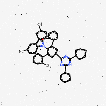 N#Cc1ccc2c(c1)c1cc(C#N)ccc1n2-c1c(-c2ccccc2C(F)(F)F)cc(-c2nc(-c3ccccc3)nc(-c3ccccc3)n2)cc1-c1ccccc1C(F)(F)F